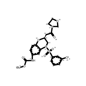 CC(C)(C)OC(=O)Nc1ccc2c(c1)N(S(=O)(=O)c1cccc(C(F)(F)F)c1)C[C@H](CC(=O)N1CCOC1)O2